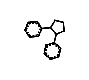 [c]1ccccc1C1CCCC1c1[c]cccc1